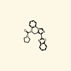 O=C(N1CCCC1)N1Cc2c(-c3nc4ccccc4o3)ncn2-c2ccccc21